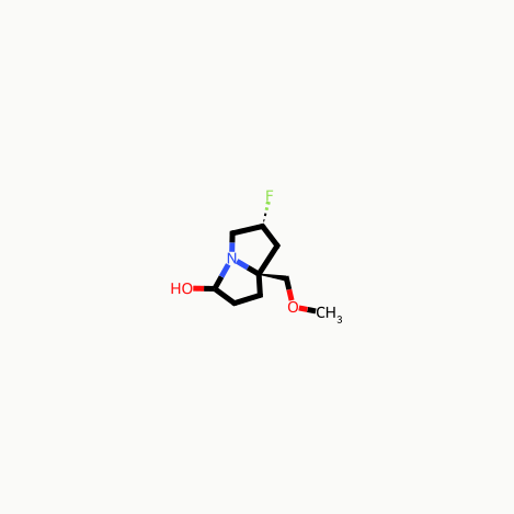 COC[C@@]12CCC(O)N1C[C@H](F)C2